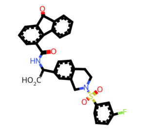 O=C(NC(C(=O)O)c1ccc2c(c1)CN(S(=O)(=O)c1cccc(F)c1)CC2)c1cccc2c1-c1ccccc1C2=O